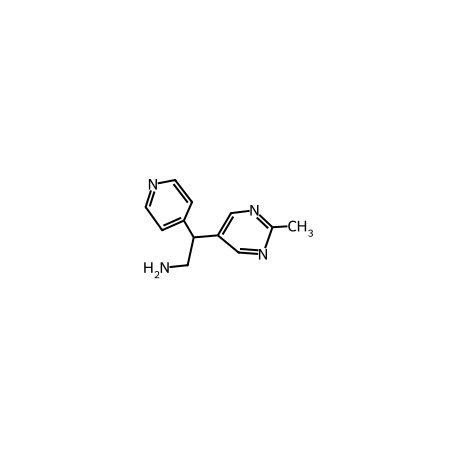 Cc1ncc(C(CN)c2ccncc2)cn1